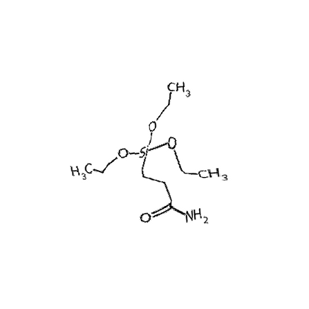 CCO[Si](CCC(N)=O)(OCC)OCC